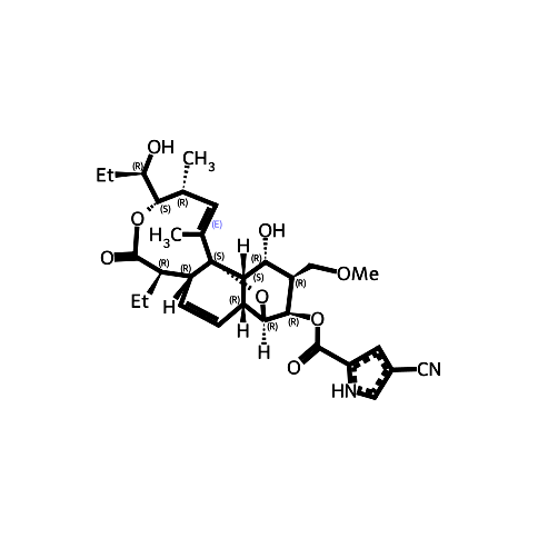 CC[C@@H](O)[C@H]1OC(=O)[C@H](CC)[C@H]2C=C[C@H]3[C@H]4O[C@]2(/C(C)=C/[C@H]1C)[C@@H]3[C@H](O)[C@@H](COC)[C@H]4OC(=O)c1cc(C#N)c[nH]1